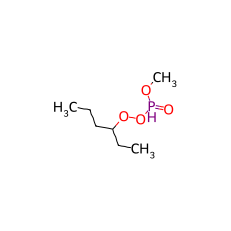 CCCC(CC)OO[PH](=O)OC